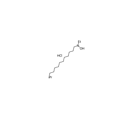 CCN(O)CCCCCCCCCCCC(C)C.Cl